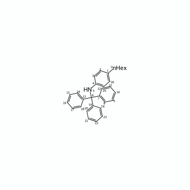 CCCCCCc1ccc(NC(c2ccccc2)(c2ccccc2)c2ccccc2)cc1